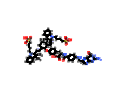 CC1(C)C(/C=C/C2=C(Oc3ccc(C[C@H](NC(=O)c4ccc(NCc5cnc6nc(N)[nH]c(=O)c6n5)cc4)C(=O)O)cc3)C(=C/C=C3/N(CCCCS(=O)(=O)O)c4ccccc4C3(C)C)/CCC2)=[N+](CCCCS(=O)(=O)O)c2ccccc21